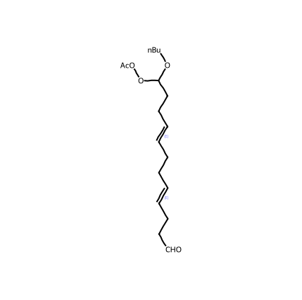 CCCCOC(CC/C=C/CC/C=C/CCC=O)OOC(C)=O